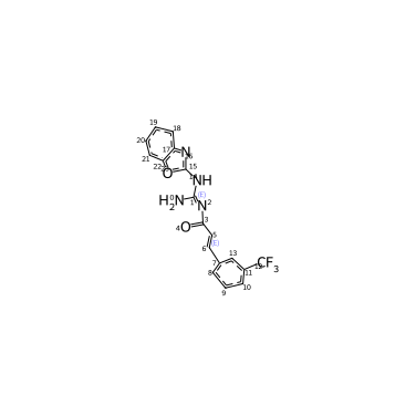 N/C(=N\C(=O)/C=C/c1cccc(C(F)(F)F)c1)Nc1nc2ccccc2o1